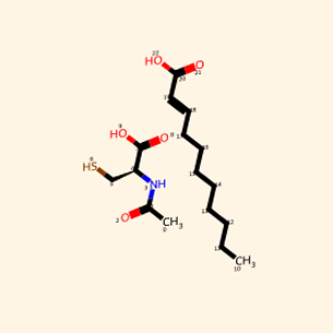 CC(=O)N[C@@H](CS)C(=O)O.CCCCCCCCC=CC(=O)O